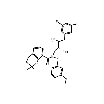 CCc1cccc(CN(C[C@@H](O)[C@@H](N)Cc2cc(F)cc(F)c2)C(=O)c2cccc3c2OC(C)(C)CC3)c1